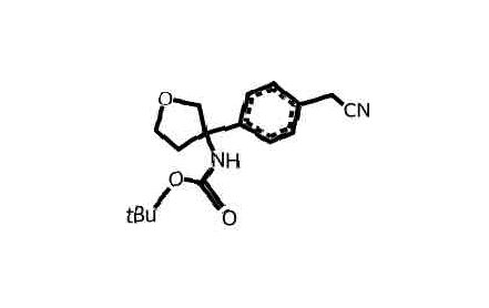 CC(C)(C)OC(=O)NC1(c2ccc(CC#N)cc2)CCOC1